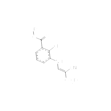 CCOC(=O)C(C#N)=CNc1cccc(C(=O)OC(C)C)c1Cl